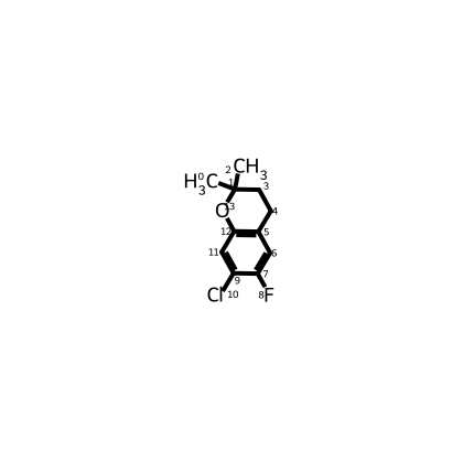 CC1(C)CCc2cc(F)c(Cl)cc2O1